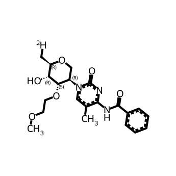 [2H]C[C@H]1OC[C@@H](n2cc(C)c(NC(=O)c3ccccc3)nc2=O)[C@H](OCCOC)[C@@H]1O